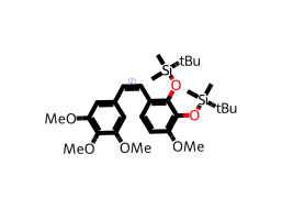 COc1cc(/C=C\c2ccc(OC)c(O[Si](C)(C)C(C)(C)C)c2O[Si](C)(C)C(C)(C)C)cc(OC)c1OC